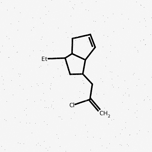 C=C(Cl)CC1CC(CC)C2CC=CC12